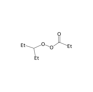 CCC(=O)OOC(CC)CC